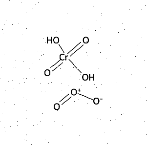 O=[O+][O-].[O]=[Cr](=[O])([OH])[OH]